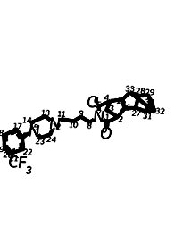 O=C1C2CC(C(=O)N1CCCCN1CCN(c3cccc(C(F)(F)F)c3)CC1)C1C2C2C3CC4C2C4C31